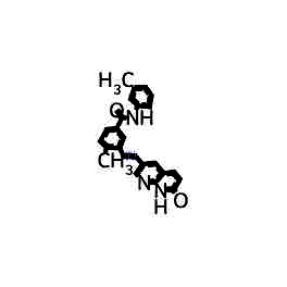 Cc1cccc(NC(=O)c2ccc(C)c(/C=C/c3cnc4[nH]c(=O)ccc4c3)c2)c1